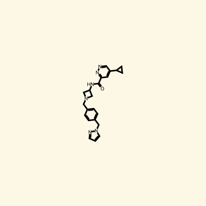 O=C(NC1CN(Cc2ccc(Cn3cccn3)cc2)C1)c1cc(C2CC2)cnn1